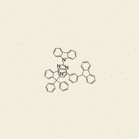 c1ccc(C(c2ccccc2)(c2ccccc2)c2ccccc2-c2nc(-c3cccc(C4c5ccccc5-c5ccccc54)c3)nc(-n3c4ccccc4c4ccccc43)n2)cc1